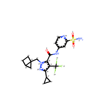 NS(=O)(=O)c1cc(NC(=O)c2c(C(F)(F)F)c(C3CC3)nn2CC23CCC2C3)ccn1